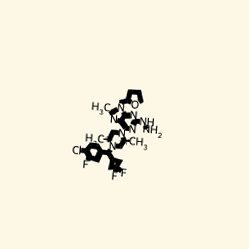 Cc1nc2c(N3C[C@@H](C)N(C(c4ccc(Cl)c(F)c4)C4CC(F)(F)C4)C[C@@H]3C)nc(NN)nc2n1CC1CCCO1